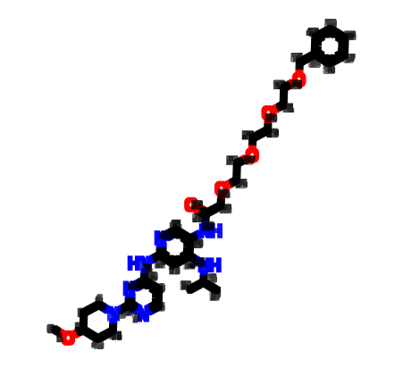 COC1CCN(c2nccc(Nc3cc(NC(C)C)c(NC(=O)COCCOCCOCCOCc4ccccc4)cn3)n2)CC1